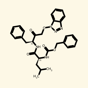 CC(C)C[C@H](NC(=O)OCc1ccccc1)C(=O)N[C@@H](Cc1ccccc1)C(=O)COn1nnc2ccccc21